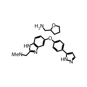 CNCc1nc2cc(Oc3ccc(-c4ccn[nH]4)cc3)ccc2[nH]1.NCC1CCCO1